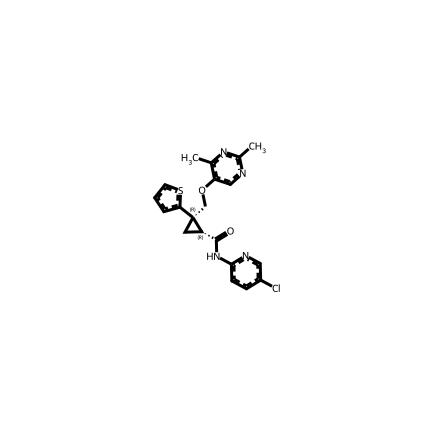 Cc1ncc(OC[C@@]2(c3cccs3)C[C@H]2C(=O)Nc2ccc(Cl)cn2)c(C)n1